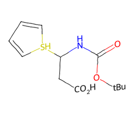 CC(C)(C)OC(=O)NC(CC(=O)O)[SH]1C=CC=C1